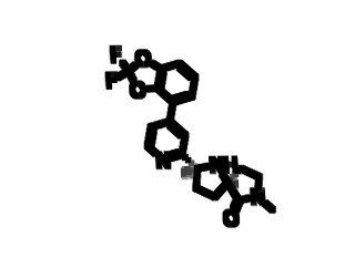 CN1CC[C@@]2(CC[C@H](c3cc(-c4cccc5c4OC(F)(F)O5)ccn3)N2)C1=O